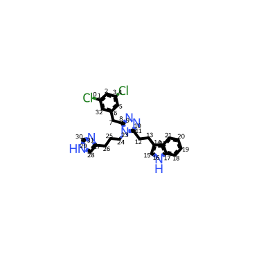 Clc1cc(Cl)cc(Cc2nnc(CCc3c[nH]c4ccccc34)n2CCCc2c[nH]cn2)c1